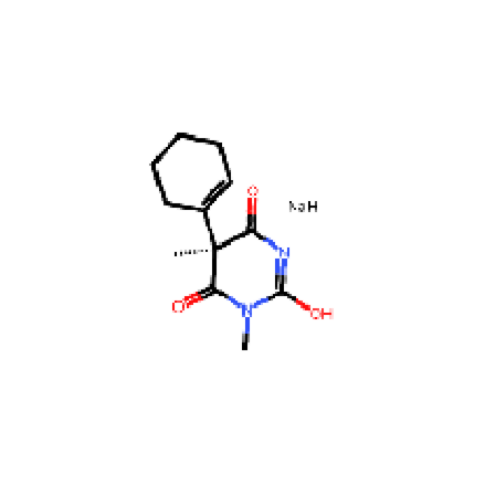 CN1C(=O)[C@@](C)(C2=CCCCC2)C(=O)N=C1O.[NaH]